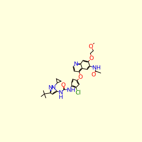 COCCOc1cc2nccc(Oc3ccc(NC(=O)Nc4cc(C(C)(C)C)nn4C4CC4)c(Cl)c3)c2cc1NC(C)=O